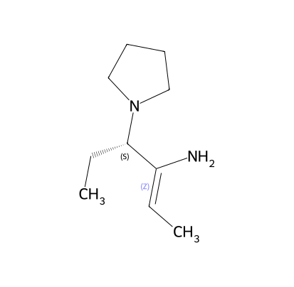 C/C=C(\N)[C@H](CC)N1CCCC1